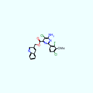 COc1c(Cl)ccc(-c2nc(N)c(Cl)c(C(=O)OCc3cnc4ccccc4c3)n2)c1F